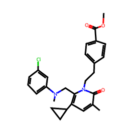 COC(=O)c1ccc(CCn2c(CN(C)c3cccc(Cl)c3)c(C3CC3)cc(C)c2=O)cc1